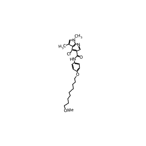 COCCCCCCCCCOc1ccc(NC(=O)c2cnc3c(c(C)cn3C)c2Cl)cc1